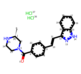 C[C@@H]1CN(C(=O)c2ccc(C=Cc3n[nH]c4ccccc34)cc2)CCN1.Cl.Cl